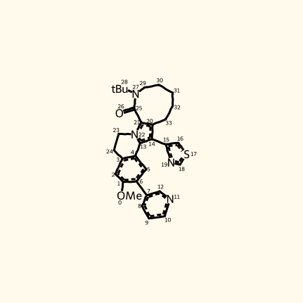 COc1cc2c(cc1-c1cccnc1)-c1c(-c3cscn3)c3c(n1CC2)C(=O)N(C(C)(C)C)CCCCC3